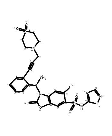 C[C@H](c1ccccc1C#CCN1CCS(=O)(=O)CC1)n1c(=O)oc2cc(S(=O)(=O)Nc3ncns3)c(F)cc21